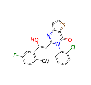 N#Cc1ccc(F)cc1C(O)=Cc1nc2ccsc2c(=O)n1-c1ccccc1Cl